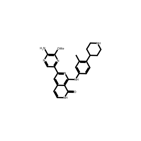 COc1nc(-c2cc3cc[nH]c(=O)c3c(Nc3ccc(C4CCNCC4)c(C)c3)n2)cnc1N